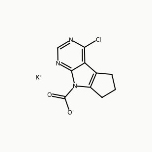 O=C([O-])n1c2c(c3c(Cl)ncnc31)CCC2.[K+]